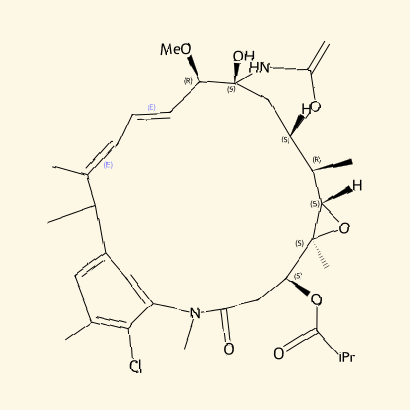 C=C1N[C@]2(O)C[C@H](O1)[C@@H](C)[C@@H]1O[C@@]1(C)[C@@H](OC(=O)C(C)C)CC(=O)N(C)c1cc(cc(C)c1Cl)C(C)/C(C)=C/C=C/[C@H]2OC